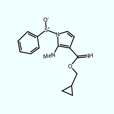 CNc1c(C(=N)OCC2CC2)ccn1[S+]([O-])c1ccccc1